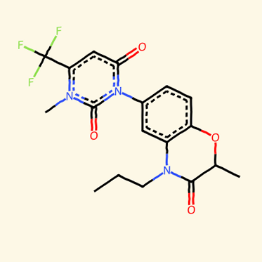 CCCN1C(=O)C(C)Oc2ccc(-n3c(=O)cc(C(F)(F)F)n(C)c3=O)cc21